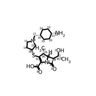 C[C@@H](O)[C@H]1C(=O)N2C(C(=O)O)=C(S[C@@H]3CCN(C[C@H]4CC[C@@H](N)CC4)C3)[C@H](C)[C@H]12